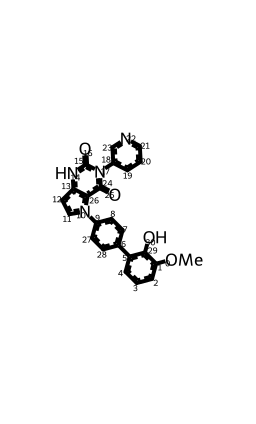 COc1cccc(-c2ccc(-n3ccc4[nH]c(=O)n(-c5cccnc5)c(=O)c43)cc2)c1O